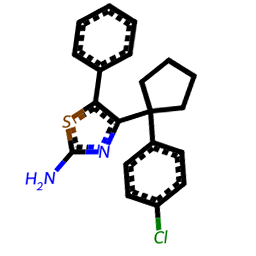 Nc1nc(C2(c3ccc(Cl)cc3)CCCC2)c(-c2ccccc2)s1